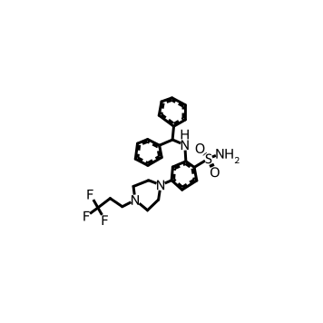 NS(=O)(=O)c1ccc(N2CCN(CCC(F)(F)F)CC2)cc1NC(c1ccccc1)c1ccccc1